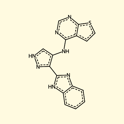 c1ccc2[nH]c(-c3n[nH]cc3Nc3ncnc4sccc34)nc2c1